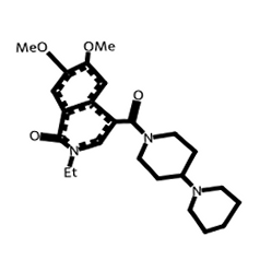 CCn1cc(C(=O)N2CCC(N3CCCCC3)CC2)c2cc(OC)c(OC)cc2c1=O